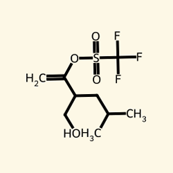 C=C(OS(=O)(=O)C(F)(F)F)C(CO)CC(C)C